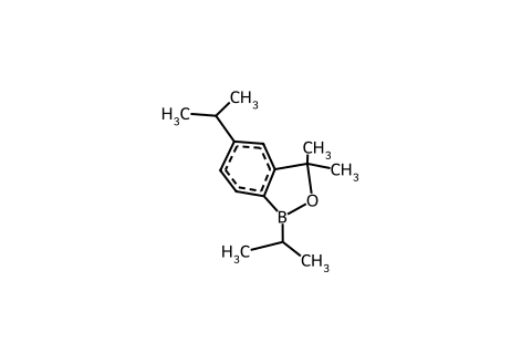 CC(C)B1OC(C)(C)c2cc(C(C)C)ccc21